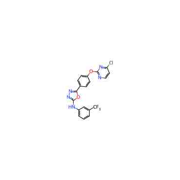 FC(F)(F)c1cccc(Nc2nnc(-c3ccc(Oc4nccc(Cl)n4)cc3)o2)c1